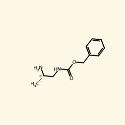 C[C@H](N)CNC(=O)OCc1ccccc1